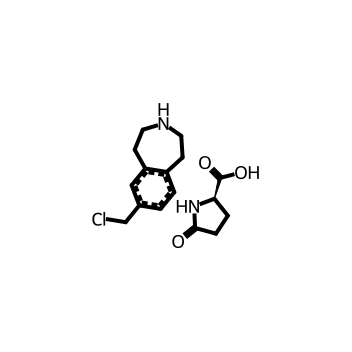 ClCc1ccc2c(c1)CCNCC2.O=C1CC[C@H](C(=O)O)N1